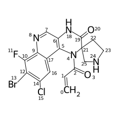 C=CC(=O)N1c2c(cnc3c(F)c(Br)c(Cl)cc23)NC(=O)C12CCNC2